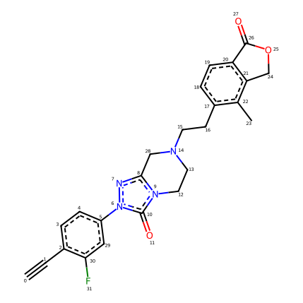 C#Cc1ccc(-n2nc3n(c2=O)CCN(CCc2ccc4c(c2C)COC4=O)C3)cc1F